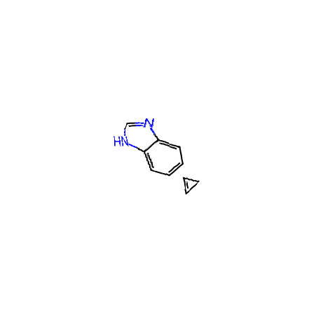 C1=CC1.c1ccc2[nH]cnc2c1